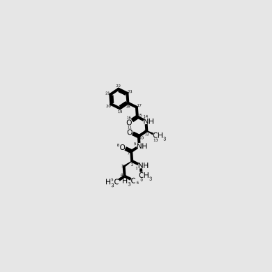 CN[C@@H](CC(C)C)C(=O)NC(=O)[C@H](C)NC(=O)Cc1ccccc1